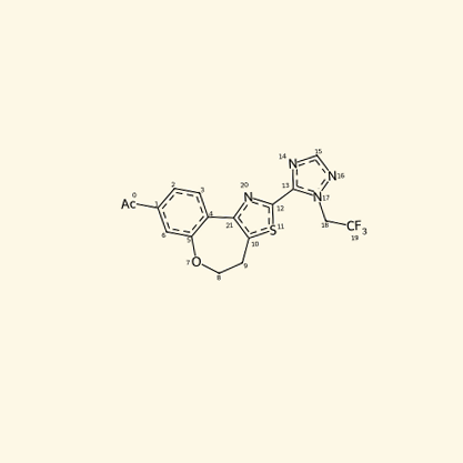 CC(=O)c1ccc2c(c1)OCCc1sc(-c3ncnn3CC(F)(F)F)nc1-2